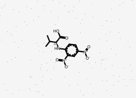 CC(C)[C@H](Nc1ccc([N+](=O)[O-])cc1[N+](=O)[O-])C(=O)O